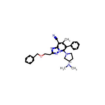 Cc1c(-c2ccccc2)c(N2CC[C@H](N(C)C)C2)n2nc(CCOCc3ccccc3)nc2c1C#N